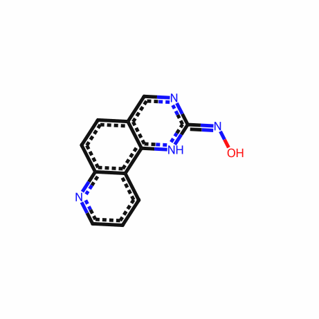 ON=c1ncc2ccc3ncccc3c2[nH]1